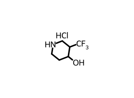 Cl.OC1CCNCC1C(F)(F)F